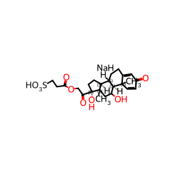 C[C@]12C=CC(=O)C=C1CC[C@@H]1[C@@H]2C(O)C[C@@]2(C)[C@H]1CC[C@]2(O)C(=O)COC(=O)CCS(=O)(=O)O.[NaH]